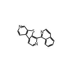 c1ccc2c(-c3nccc4c3sc3cnccc34)nccc2c1